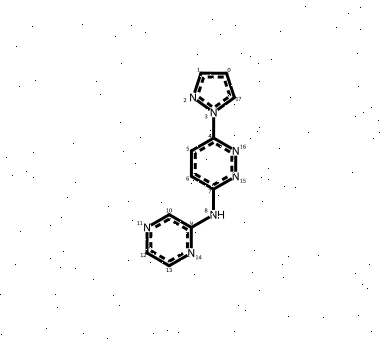 c1cnn(-c2ccc(Nc3cnccn3)nn2)c1